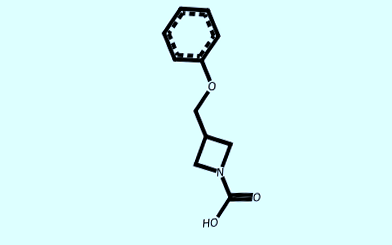 O=C(O)N1CC(COc2ccccc2)C1